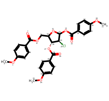 COc1ccc(C(=O)OCC2OC(OC(=O)c3ccc(OC)cc3)[C@@H](Cl)[C@@H]2OC(=O)c2ccc(OC)cc2)cc1